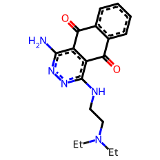 CCN(CC)CCNc1nnc(N)c2c1C(=O)c1ccccc1C2=O